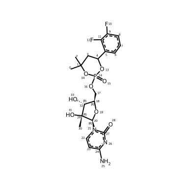 CC1(C)CC(c2cccc(F)c2F)OP(=O)(OC[C@H]2O[C@@H](n3ccc(N)nc3=O)[C@](C)(O)[C@@H]2O)O1